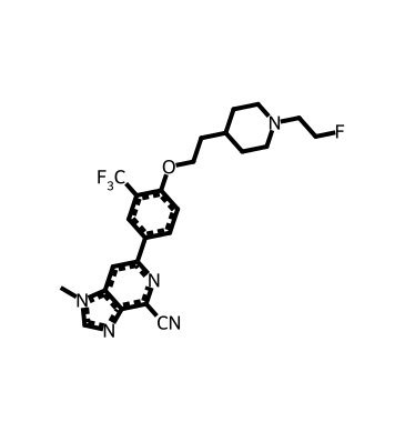 Cn1cnc2c(C#N)nc(-c3ccc(OCCC4CCN(CCF)CC4)c(C(F)(F)F)c3)cc21